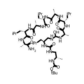 CC(C)C[C@@H](CNC(O)N[C@@H](C)C(=O)N[C@@H](CC(C)C)C(=O)N[C@@H](C)C(=O)N[C@@H](CC(C)C)C(=O)N[C@@H](C)C(=O)N[C@@H](CC(C)C)C(=O)N[C@@H](C)C(N)=O)NC(=O)NC[C@H](C)NC(=O)OC(C)(C)C